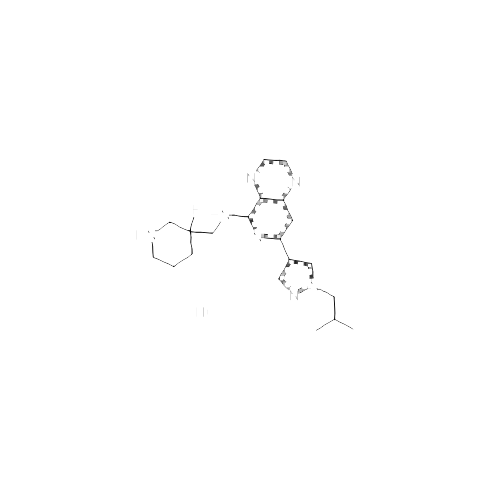 CC(C)Cn1cc(-c2cc3nccnc3c(NCC3(F)CCCNC3)n2)cn1.Cl